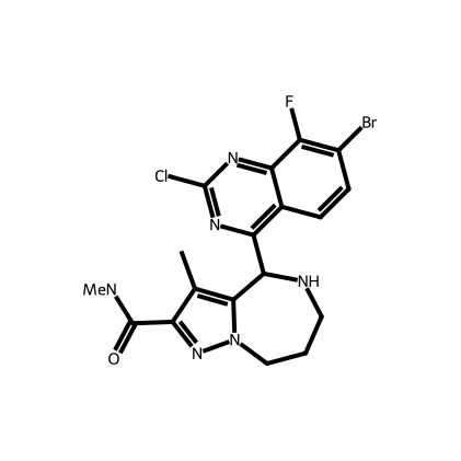 CNC(=O)c1nn2c(c1C)C(c1nc(Cl)nc3c(F)c(Br)ccc13)NCCC2